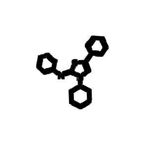 c1ccc(N=c2sc(-c3ccccc3)cn2C2CCCCC2)cc1